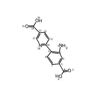 Nc1cc(C(=O)O)ccc1-c1ccc(C(=O)O)cn1